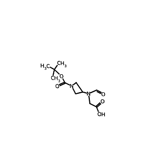 CC(C)(C)OC(=O)N1CC(N(C=O)CC(=O)O)C1